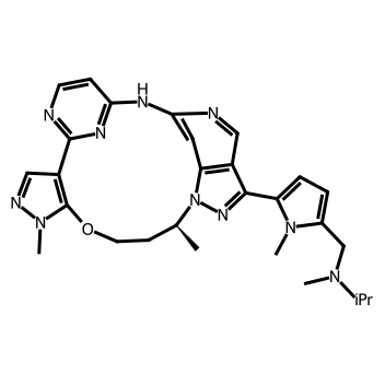 CC(C)N(C)Cc1ccc(-c2nn3c4cc(ncc24)Nc2ccnc(n2)-c2cnn(C)c2OCC[C@@H]3C)n1C